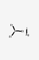 CCN(CC)CC.[Ag][I]